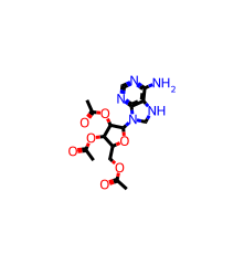 CC(=O)OCC1OC(N2CNc3c(N)ncnc32)C(OC(C)=O)C1OC(C)=O